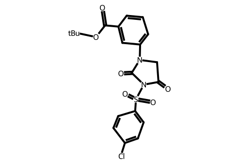 CC(C)(C)OC(=O)c1cccc(N2CC(=O)N(S(=O)(=O)c3ccc(Cl)cc3)C2=O)c1